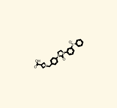 O=C(O)C1CN(Cc2ccc(N3CCN(c4cccc([S+]([O-])c5ccccc5)c4)C3=O)cc2)C1